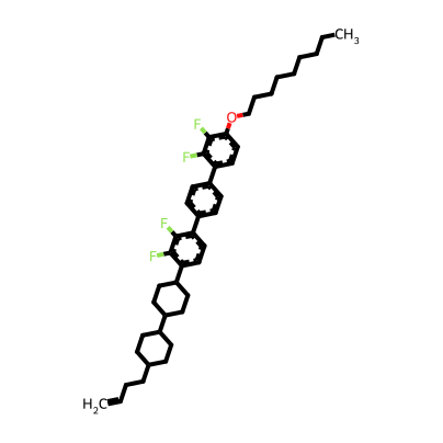 C=CCCC1CCC(C2CCC(c3ccc(-c4ccc(-c5ccc(OCCCCCCCCC)c(F)c5F)cc4)c(F)c3F)CC2)CC1